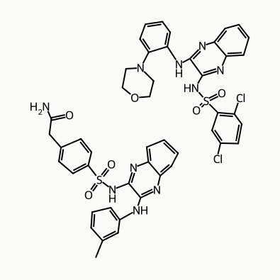 Cc1cccc(Nc2nc3ccccc3nc2NS(=O)(=O)c2ccc(CC(N)=O)cc2)c1.O=S(=O)(Nc1nc2ccccc2nc1Nc1ccccc1N1CCOCC1)c1cc(Cl)ccc1Cl